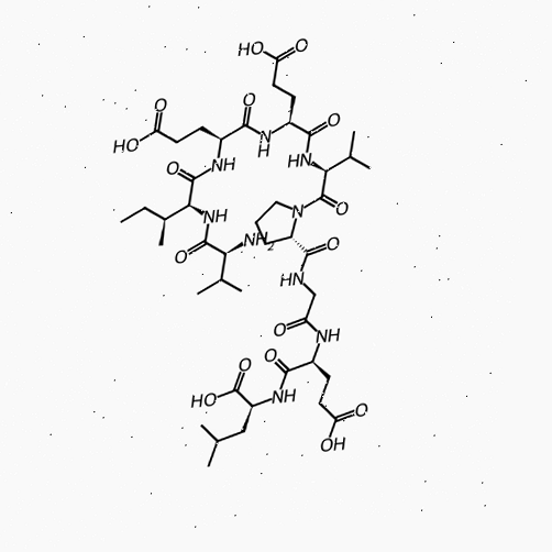 CC[C@H](C)[C@H](NC(=O)[C@@H](N)C(C)C)C(=O)N[C@@H](CCC(=O)O)C(=O)N[C@@H](CCC(=O)O)C(=O)N[C@H](C(=O)N1CCC[C@H]1C(=O)NCC(=O)N[C@@H](CCC(=O)O)C(=O)N[C@@H](CC(C)C)C(=O)O)C(C)C